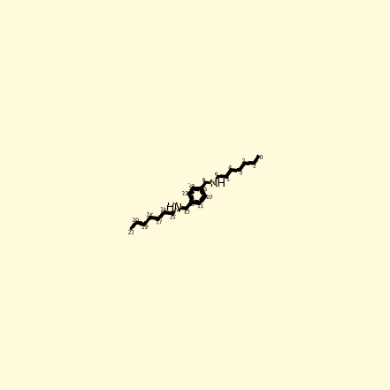 CCCCCCCNCc1ccc(CNCCCCCCC)cc1